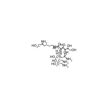 CC(=O)C(=O)[C@H](N)[C@@H](O)[C@H](O)[C@H](O)CO.NC(=O)C[C@H](N)C(=O)O.NCC(=O)O.NCC(=O)O.NCCCC[C@H](N)C(=O)O